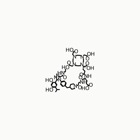 CCNC(=O)c1nnc(-c2cc(C(C)C)c(O)cc2O)n1-c1ccc(CC2CCN(C(=O)CNC(=O)[C@H](CCC(=O)O)NC(=O)CC[C@H](C(=O)O)N3CCN(CC(=O)O)CCN(CC(=O)O)CCN(CC(=O)O)CC3)CC2)cc1